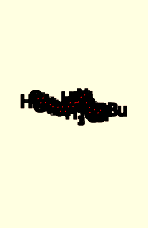 C[C@@H](NC(=O)c1nc(C(C)(C)C)no1)c1ccc(-c2ncnc3[nH]c(-c4ccc(N5CCN(CC6CCN(c7ccc(N8CCC(=O)NC8=O)cc7)CC6)CC5)cn4)cc23)cc1F